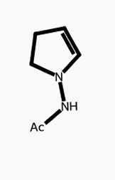 CC(=O)NN1C=CCC1